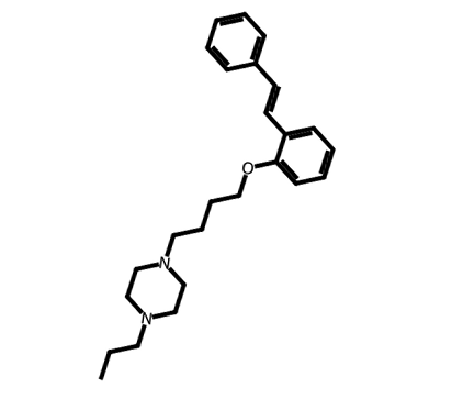 CCCN1CCN(CCCCOc2ccccc2C=Cc2ccccc2)CC1